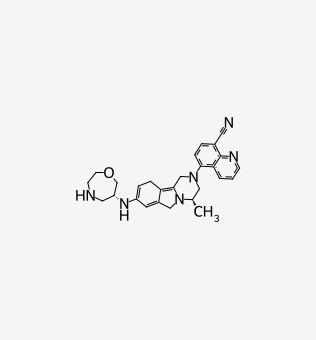 C[C@@H]1CN(c2ccc(C#N)c3ncccc23)CC2=C3CC=C(N[C@@H]4CNCCOC4)C=C3CN21